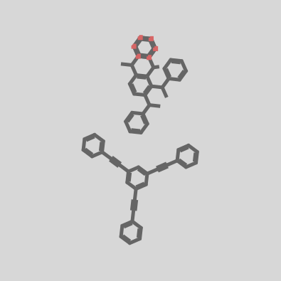 C(#Cc1cc(C#Cc2ccccc2)cc(C#Cc2ccccc2)c1)c1ccccc1.CC(c1ccccc1)c1ccc(C(C)c2ccccc2)c(C(C)c2ccccc2)c1C(C)c1ccccc1